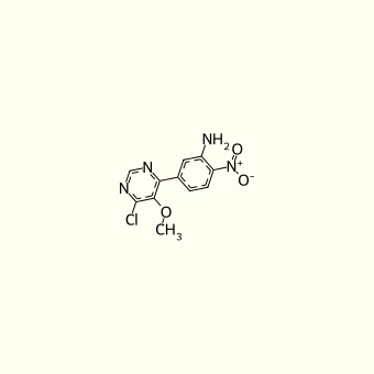 COc1c(Cl)ncnc1-c1ccc([N+](=O)[O-])c(N)c1